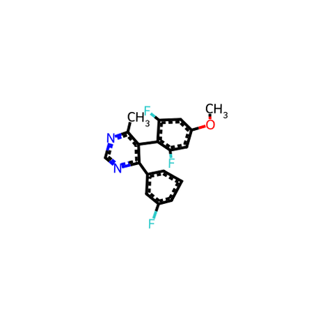 COc1cc(F)c(-c2c(C)ncnc2-c2cccc(F)c2)c(F)c1